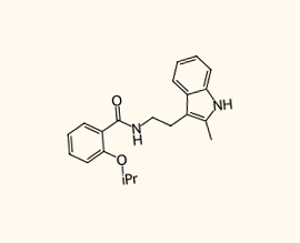 Cc1[nH]c2ccccc2c1CCNC(=O)c1ccccc1OC(C)C